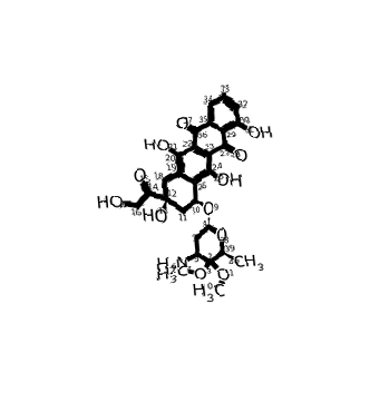 COC1(OC)C(N)C[C@H](O[C@H]2C[C@](O)(C(=O)CO)Cc3c(O)c4c(c(O)c32)C(=O)c2c(O)cccc2C4=O)O[C@H]1C